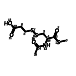 CSC(=O)[C@H](CSSCCC(=O)O)NC(C)=O